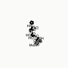 CNS(=O)(=O)NC(=O)C(COC)(OC[C@H]1O[C@@H](n2ncc3c(NC4CCCC4)nc(Cl)nc32)[C@H](O)[C@@H]1O)P(=O)(O)O